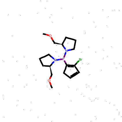 COC[C@H]1CCCN1P(C1=C(Br)C=CC1)N1CCC[C@@H]1COC